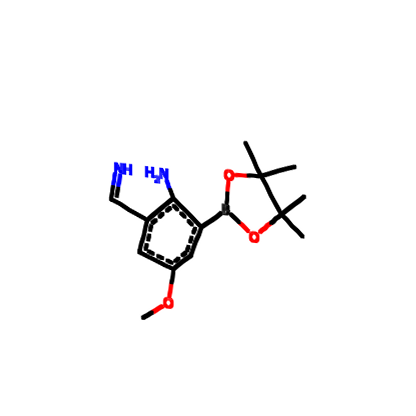 COc1cc(C=N)c(N)c(B2OC(C)(C)C(C)(C)O2)c1